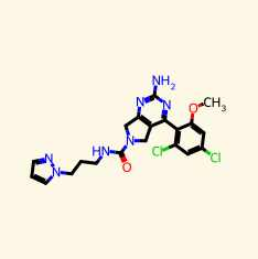 COc1cc(Cl)cc(Cl)c1-c1nc(N)nc2c1CN(C(=O)NCCCn1cccn1)C2